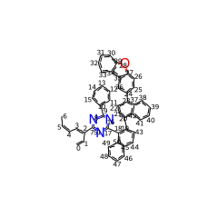 C=C/C(=C\C=C/C)c1nc(-c2ccccc2)nc(-c2c(-c3ccc(-c4ccc5oc6ccccc6c5c4)c4ccccc34)ccc3ccccc23)n1